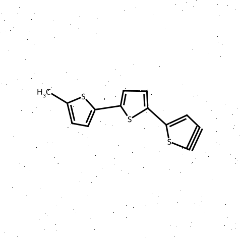 Cc1ccc(-c2ccc(-c3cc#cs3)s2)s1